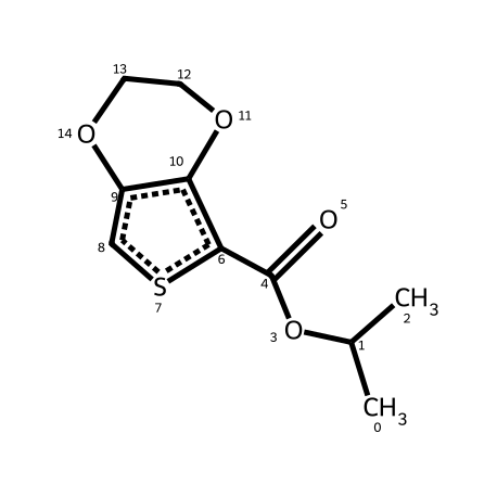 CC(C)OC(=O)c1scc2c1OCCO2